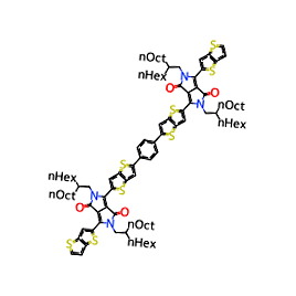 CCCCCCCCC(CCCCCC)CN1C(=O)C2=C(c3cc4sc(-c5ccc(-c6cc7sc(C8=C9C(=O)N(CC(CCCCCC)CCCCCCCC)C(c%10cc%11sccc%11s%10)=C9C(=O)N8CC(CCCCCC)CCCCCCCC)cc7s6)cc5)cc4s3)N(CC(CCCCCC)CCCCCCCC)C(=O)C2=C1c1cc2sccc2s1